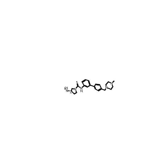 CN1CCN(Cc2ccc(-c3cccc(NC(=S)N4CC[C@@H](NI)C4)c3)cc2)CC1